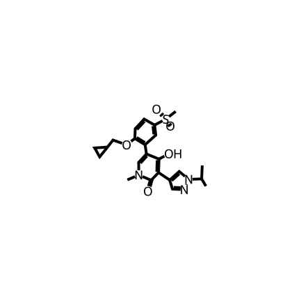 CC(C)n1cc(-c2c(O)c(-c3cc(S(C)(=O)=O)ccc3OCC3CC3)cn(C)c2=O)cn1